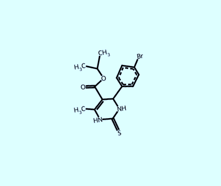 CC1=C(C(=O)OC(C)C)C(c2ccc(Br)cc2)NC(=S)N1